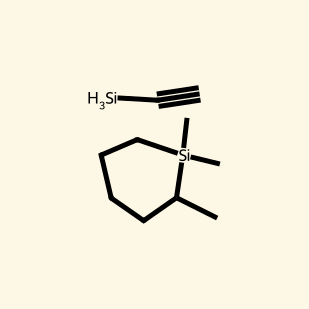 C#C[SiH3].CC1CCCC[Si]1(C)C